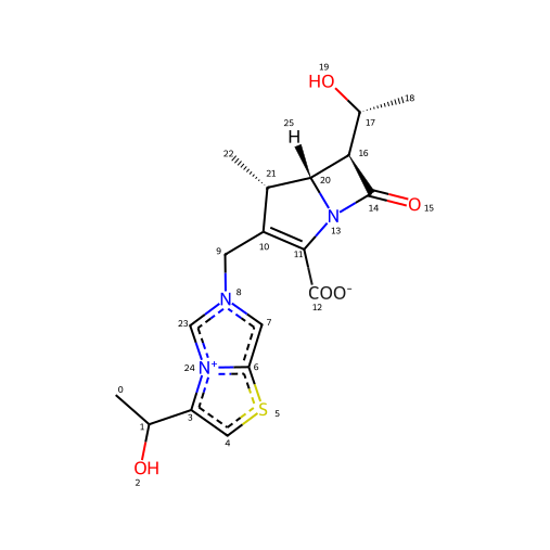 CC(O)c1csc2cn(CC3=C(C(=O)[O-])N4C(=O)[C@H]([C@@H](C)O)[C@H]4[C@H]3C)c[n+]12